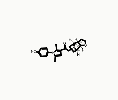 Cc1cc(C(=O)CN2[C@@H]3CC[C@H]2[C@H]2CCO[C@H]23)c(C)n1-c1ccc(C#N)cc1